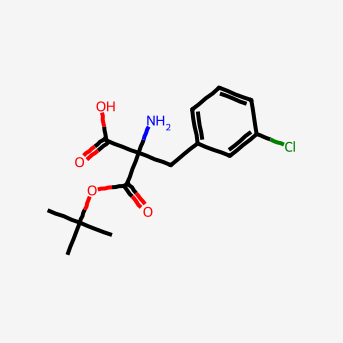 CC(C)(C)OC(=O)C(N)(Cc1cccc(Cl)c1)C(=O)O